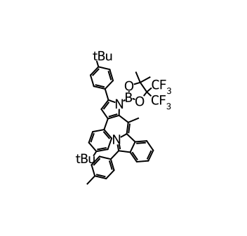 C/C(=C1/N=C(c2ccc(C)cc2)c2ccccc21)c1c(-c2ccc(C(C)(C)C)cc2)cc(-c2ccc(C(C)(C)C)cc2)n1B1OC(C)(C)C(C(F)(F)F)(C(F)(F)F)O1